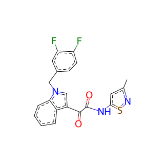 Cc1cc(NC(=O)C(=O)c2cn(Cc3ccc(F)c(F)c3)c3ccccc23)sn1